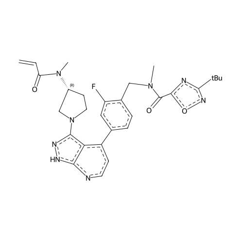 C=CC(=O)N(C)[C@@H]1CCN(c2n[nH]c3nccc(-c4ccc(CN(C)C(=O)c5nc(C(C)(C)C)no5)c(F)c4)c23)C1